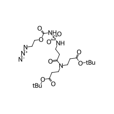 CC(C)(C)OC(=O)CCN(CCC(=O)OC(C)(C)C)C(=O)CCNS(=O)(=O)NC(=O)OCCN=[N+]=[N-]